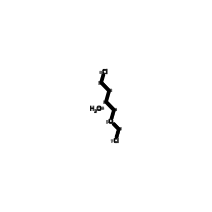 ClCCCCOCCl.O